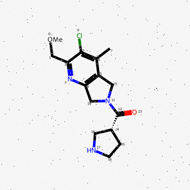 COCc1nc2c(c(C)c1Cl)CN(C(=O)[C@@H]1CCNC1)C2